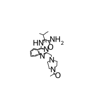 CC(=O)N1CCN(Cc2nc(N[C@H](C(N)=O)C(C)C)c3ccccc3n2)CC1